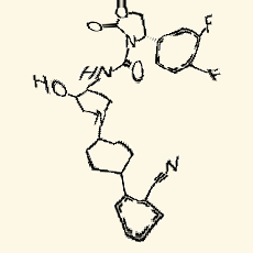 N#Cc1ccccc1C1CCC(N2CC(O)C(NC(=O)N3C(=O)OC[C@@H]3c3ccc(F)c(F)c3)C2)CC1